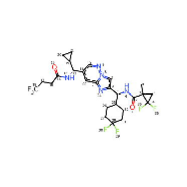 CC1(C(=O)N[C@H](c2cn3ncc([C@H](NC(=O)CCC(F)(F)F)C4CC4)cc3n2)C2CCC(F)(F)CC2)CC1(F)F